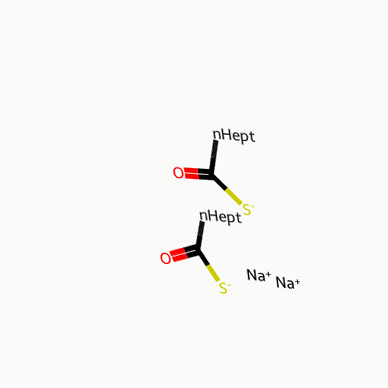 CCCCCCCC(=O)[S-].CCCCCCCC(=O)[S-].[Na+].[Na+]